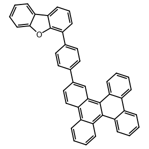 c1ccc2c(c1)oc1c(-c3ccc(-c4ccc5c6ccccc6c6c7ccccc7c7ccccc7c6c5c4)cc3)cccc12